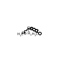 COC(=O)CCCC(C)(C)c1ccc2cc3ccc(C4(C)CCCCC4)cc3cc2c1